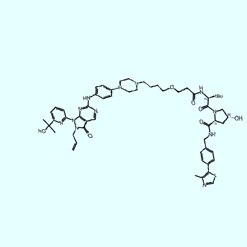 C=CCn1c(=O)c2cnc(Nc3ccc(N4CCN(CCCCOCCC(=O)N[C@H](C(=O)N5C[C@H](O)C[C@H]5C(=O)NCc5ccc(-c6scnc6C)cc5)C(C)(C)C)CC4)cc3)nc2n1-c1cccc(C(C)(C)O)n1